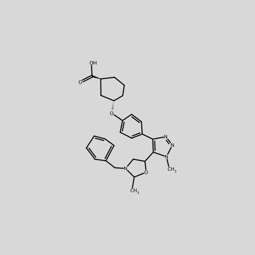 CC1OC(c2c(-c3ccc(O[C@H]4CCC[C@H](C(=O)O)C4)cc3)nnn2C)CN1Cc1ccccc1